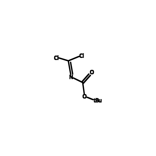 CC(C)(C)OC(=O)N=C(Cl)Cl